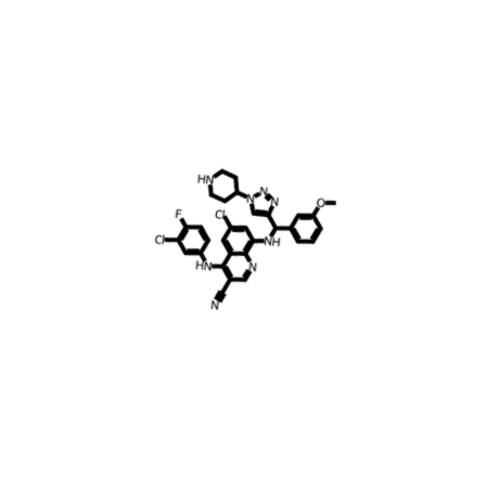 COc1cccc(C(Nc2cc(Cl)cc3c(Nc4ccc(F)c(Cl)c4)c(C#N)cnc23)c2cn(C3CCNCC3)nn2)c1